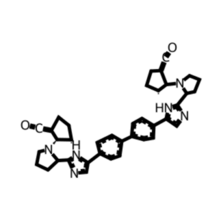 O=C=C1CC[CH]C1N1CCCC1c1ncc(-c2ccc(-c3ccc(-c4cnc(C5CCCN5[C@H]5[CH]CCC5=C=O)[nH]4)cc3)cc2)[nH]1